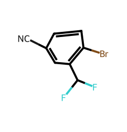 N#Cc1ccc(Br)c(C(F)F)c1